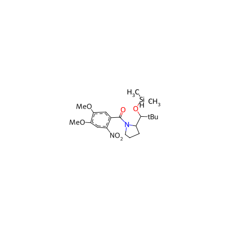 COc1cc(C(=O)N2CCCC2C(O[SiH](C)C)C(C)(C)C)c([N+](=O)[O-])cc1OC